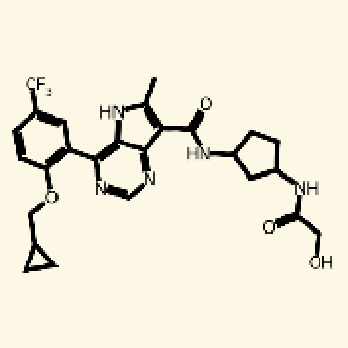 Cc1[nH]c2c(-c3cc(C(F)(F)F)ccc3OCC3CC3)ncnc2c1C(=O)NC1CCC(NC(=O)CO)C1